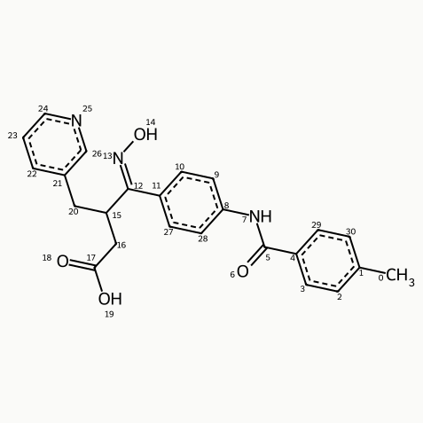 Cc1ccc(C(=O)Nc2ccc(/C(=N\O)C(CC(=O)O)Cc3cccnc3)cc2)cc1